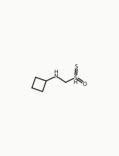 O=[SH](=S)CNC1CCC1